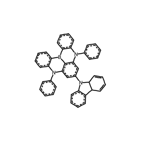 C1=CC2c3ccccc3N(c3cc4c5c(c3)N(c3ccccc3)c3ccccc3B5c3ccccc3N4c3ccccc3)C2C=C1